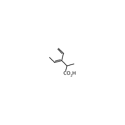 C=CC(=CC)C(C)C(=O)O